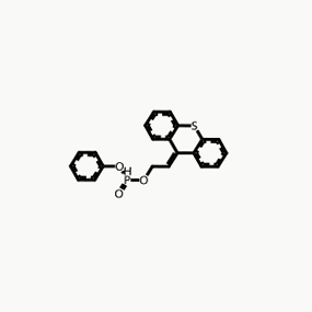 O=[PH](OCC=C1c2ccccc2Sc2ccccc21)Oc1ccccc1